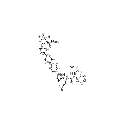 COC(=O)N[C@H](C(=O)N[C@@H](CC1CC1)c1ncc(-c2ccc(-c3ccc(-c4cnc([C@@H]5C[C@H]6C[C@H]6N5C(=O)OC(C)(C)C)[nH]4)cc3)cc2)[nH]1)C1CCOCC1